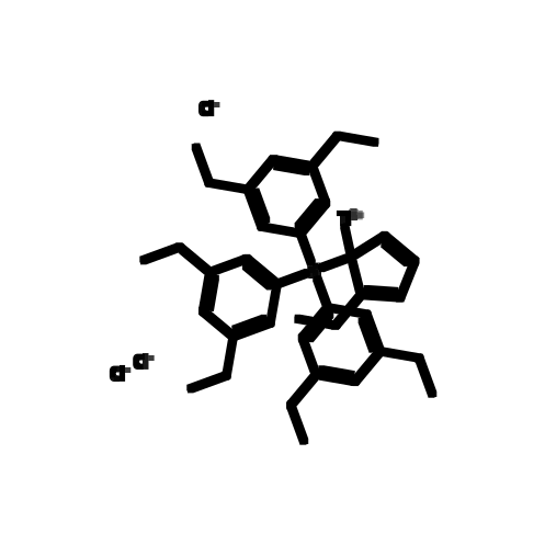 CCC1=CC=C[C]1([Ti+3])[Si](c1cc(CC)cc(CC)c1)(c1cc(CC)cc(CC)c1)c1cc(CC)cc(CC)c1.[Cl-].[Cl-].[Cl-]